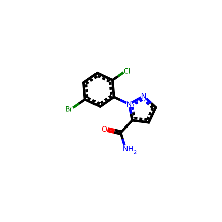 NC(=O)c1ccnn1-c1cc(Br)ccc1Cl